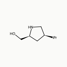 CC(C)[C@@H]1CN[C@H](CO)C1